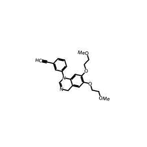 C#Cc1cccc(N2C=NCc3cc(OCCOC)c(OCCOC)cc32)c1